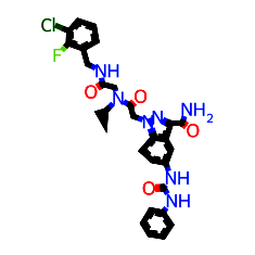 NC(=O)c1nn(CC(=O)N(CC(=O)NCc2cccc(Cl)c2F)C2CC2)c2ccc(NC(=O)Nc3ccccc3)cc12